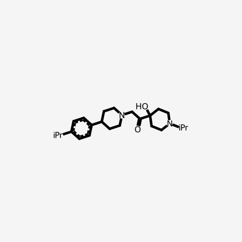 CC(C)c1ccc(C2CCN(CC(=O)C3(O)CCN(C(C)C)CC3)CC2)cc1